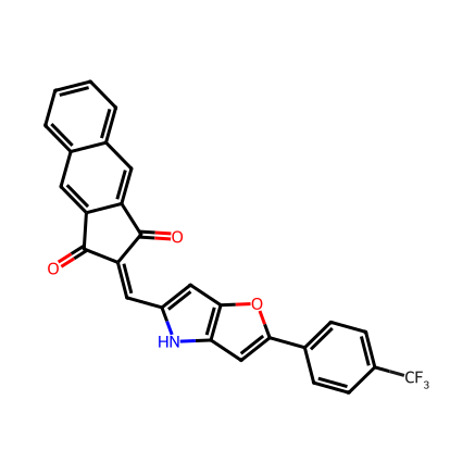 O=C1C(=Cc2cc3oc(-c4ccc(C(F)(F)F)cc4)cc3[nH]2)C(=O)c2cc3ccccc3cc21